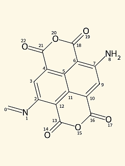 C=Nc1cc2c3c(c(N)cc4c3c1C(=O)OC4=O)C(=O)OC2=O